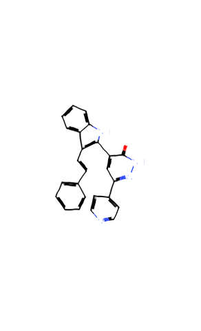 O=c1[nH]nc(-c2ccncc2)cc1-c1[nH]c2ccccc2c1C=Cc1ccccc1